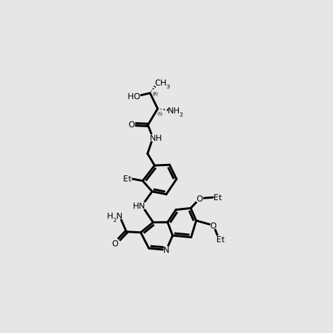 CCOc1cc2ncc(C(N)=O)c(Nc3cccc(CNC(=O)[C@@H](N)[C@@H](C)O)c3CC)c2cc1OCC